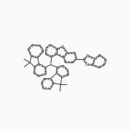 CC1(C)c2ccccc2-c2c(N(c3cccc4c3-c3ccccc3C4(C)C)c3cccc4sc5cc(-c6nc7ccccc7o6)ccc5c34)cccc21